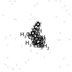 CN(C)c1cc(CC2=COc3ccccc3C2)c(O)c2c1C[C@H]1C[C@H]3[C@H](N(C)C)C(O)=C(C(N)=O)C(=O)[C@@]3(O)C(O)=C1C2=O